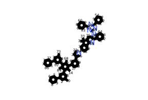 Cc1cc(-c2ccccc2)cc(-c2c(C)c(-c3cccc(-c4ccn(-c5ccc6c(c5)C(C)(C)c5cc7c(nc5-6)c5ccccc5n7-c5nc(-c6ccccc6)nc(-c6ccccc6)n5)c4)c3)c(C)c(-c3cc(C)cc(-c4ccccc4)c3)c2C)c1